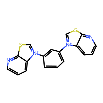 c1cc(-[n+]2csc3ncccc32)cc(-[n+]2csc3ncccc32)c1